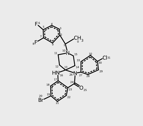 CC(c1ccc(F)c(F)c1)N1CCC2(CC1)Nc1cc(Br)ccc1C(=O)N2c1ccc(Cl)cc1